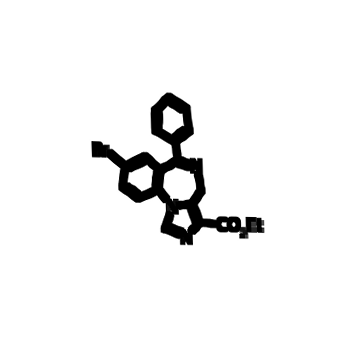 CCOC(=O)c1ncn2c1CN=C(c1ccccc1)c1cc(Br)ccc1-2